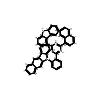 c1ccc(-n2c3ccccc3c3cc4ccccc4cc32)c(-c2nc(-c3cccc4ccccc34)nc(-c3cccc4sc5ccccc5c34)n2)c1